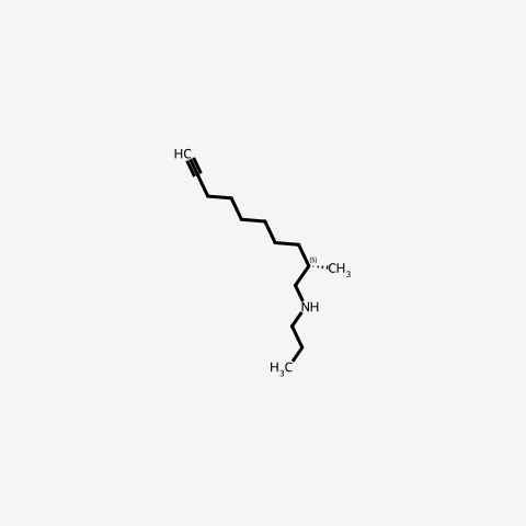 C#CCCCCCC[C@H](C)CNCCC